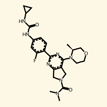 C[C@H]1COCCN1c1nc(-c2ccc(NC(=O)NC3CC3)cc2F)nc2c1CN(C(=O)N(C)C)C2